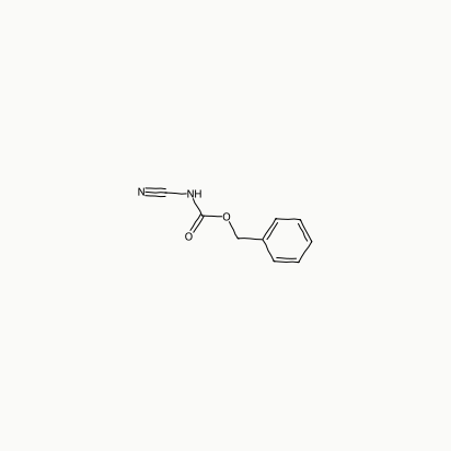 N#CNC(=O)OCc1ccccc1